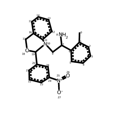 Cc1ccccc1C(N)CN1c2ccccc2COC1c1cccc([N+](=O)[O-])c1